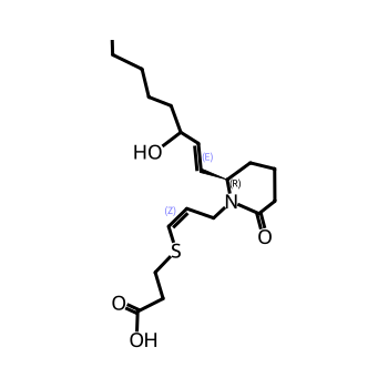 CCCCCC(O)/C=C/[C@H]1CCCC(=O)N1C/C=C\SCCC(=O)O